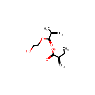 C=C(C)C(=O)OCCO.C=C(CC)C(=O)O